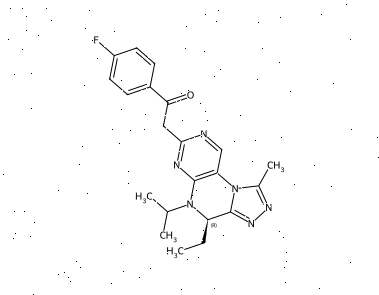 CC[C@@H]1c2nnc(C)n2-c2cnc(CC(=O)c3ccc(F)cc3)nc2N1C(C)C